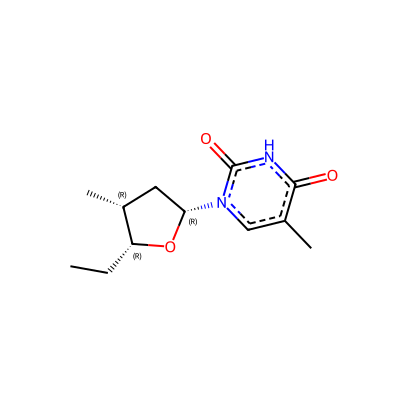 CC[C@H]1O[C@@H](n2cc(C)c(=O)[nH]c2=O)C[C@H]1C